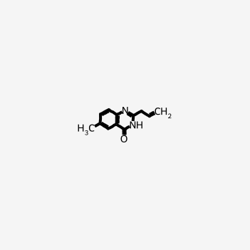 C=CCc1nc2ccc(C)cc2c(=O)[nH]1